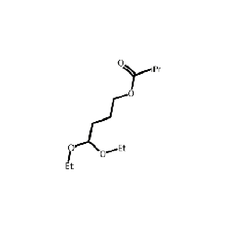 CCOC(CCCOC(=O)C(C)C)OCC